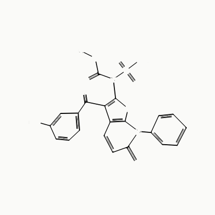 Cc1cccc(C(=O)c2c(N(C(=O)OC(C)(C)C)S(C)(=O)=O)sc3c2ccc(=O)n3-c2ccccc2)c1